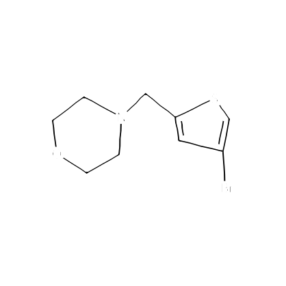 Brc1csc(CN2CCOCC2)c1